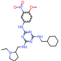 CCN1CCCC1CNc1nc(NCC2CCCCC2)nc(Nc2ccc(OC)c([N+](=O)[O-])c2)n1